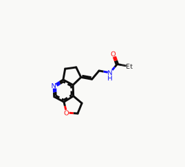 CCC(=O)NCC=C1CCc2ncc3c(c21)CCO3